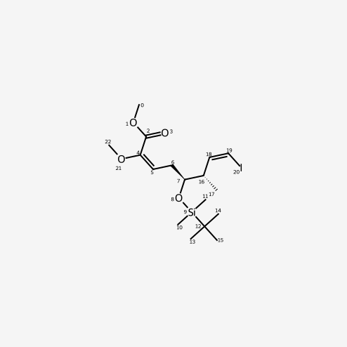 COC(=O)/C(=C\C[C@H](O[Si](C)(C)C(C)(C)C)[C@@H](C)/C=C\I)OC